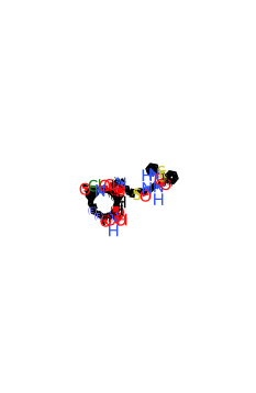 COc1cc2cc(c1Cl)N(C)C(=O)C[C@H](OC(=O)[C@H](C)N(C)C(=O)CCC(C)(C)SCC(=O)NCCNC(=O)O[C@H]1CCCC[C@@H]1SSc1ccccn1)[C@@]1(C)C[C@H]1[C@H](C)[C@@H]1C[C@@](O)(NC(=O)O1)[C@H](OC)/C=C/C=C(\C)C2